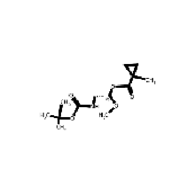 CO[C@H](CNC(=O)OC(C)(C)C)OC(=O)C1(C)CC1